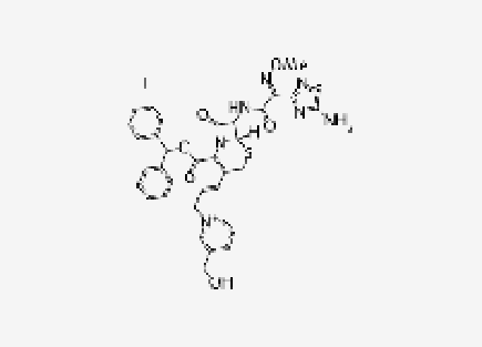 CON=C(C(=O)NC1C(=O)N2C(C(=O)OC(c3ccccc3)c3ccccc3)=C(C=CC[n+]3cccc(CO)c3)CS[C@@H]12)c1nsc(N)n1.[I-]